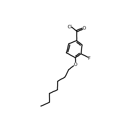 CCCCCCCOc1ccc(C(=O)Cl)cc1F